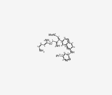 CN/C=C(\C(=N)CO/C(N)=C/C=C\N)c1cnc2ccc(Nc3cc(C(C)C)cnn3)nc2c1